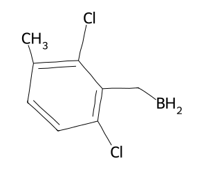 BCc1c(Cl)ccc(C)c1Cl